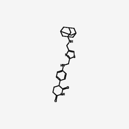 O=C1CCC(c2ccc(NCc3nc(CNC45CC6CC(CC(C6)C4)C5)cs3)cc2)C(=O)N1